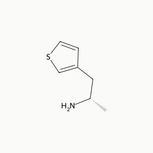 C[C@H](N)Cc1ccsc1